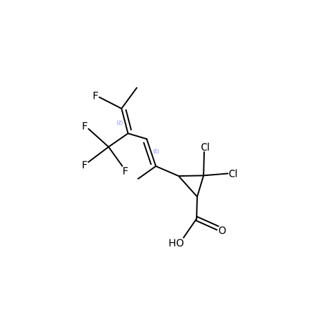 C/C(F)=C(\C=C(/C)C1C(C(=O)O)C1(Cl)Cl)C(F)(F)F